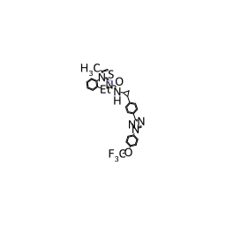 CCc1ccccc1-n1c(C)cs/c1=N\C(=O)NC1CC1c1ccc(-c2ncn(-c3ccc(OC(F)(F)F)cc3)n2)cc1